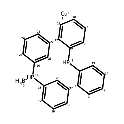 [BH4-].[Cu+].c1ccc(Pc2ccccc2)cc1.c1ccc(Pc2ccccc2)cc1